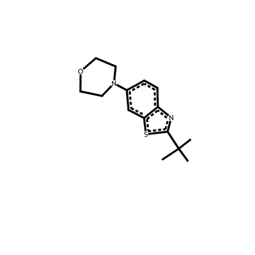 CC(C)(C)c1nc2ccc(N3CCOCC3)cc2s1